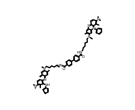 C=C1C=C(N(C)CCCCCCNC(=O)c2ccc(-c3ccc(C(=O)NCCCCCCN(C)c4cc5c(cc4C)nc4ccc(N(C)C)c(C)c4[n+]5-c4ccccc4)cc3)cc2)C(C)=C/C1=N/c1ccc(N(C)C)c(C)c1Nc1ccccc1